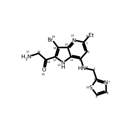 CCc1cc(NCc2nccs2)c2[nH]c(C(=O)CN)c(Br)c2n1